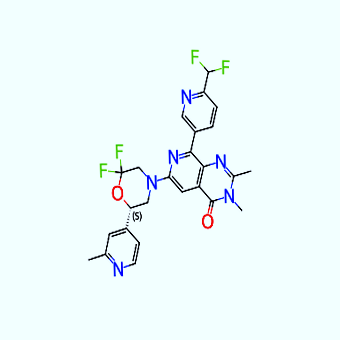 Cc1cc([C@H]2CN(c3cc4c(=O)n(C)c(C)nc4c(-c4ccc(C(F)F)nc4)n3)CC(F)(F)O2)ccn1